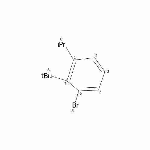 CC(C)c1cccc(Br)c1C(C)(C)C